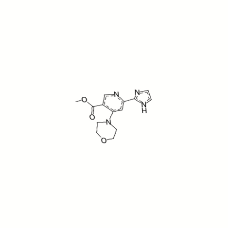 COC(=O)c1cnc(-c2ncc[nH]2)cc1N1CCOCC1